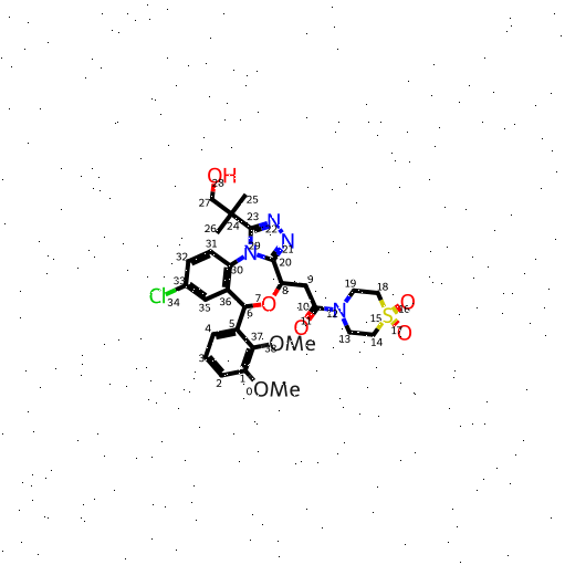 COc1cccc(C2OC(CC(=O)N3CCS(=O)(=O)CC3)c3nnc(C(C)(C)CO)n3-c3ccc(Cl)cc32)c1OC